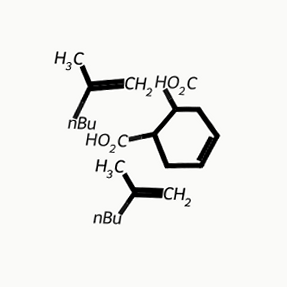 C=C(C)CCCC.C=C(C)CCCC.O=C(O)C1CC=CCC1C(=O)O